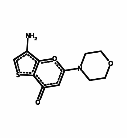 Nc1csc2c(=O)cc(N3CCOCC3)oc12